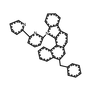 c1ccc(Cc2cc3ccc4c5ccccc5n(-c5cccc(-c6ccccn6)n5)c4c3c3ccccc23)cc1